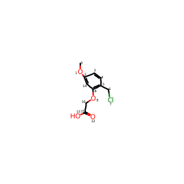 COc1ccc(CCl)c(OCC(=O)O)c1